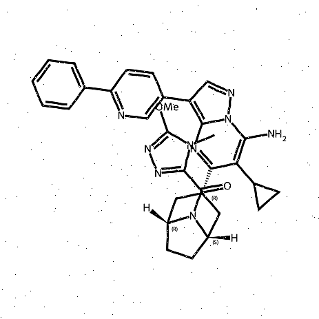 COc1nnc(C(=O)N2[C@@H]3CC[C@H]2C[C@@H](c2nc4c(-c5ccc(-c6ccccc6)nc5)cnn4c(N)c2C2CC2)C3)n1C